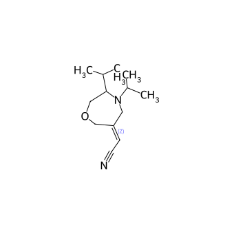 CC(C)C1COC/C(=C\C#N)CN1C(C)C